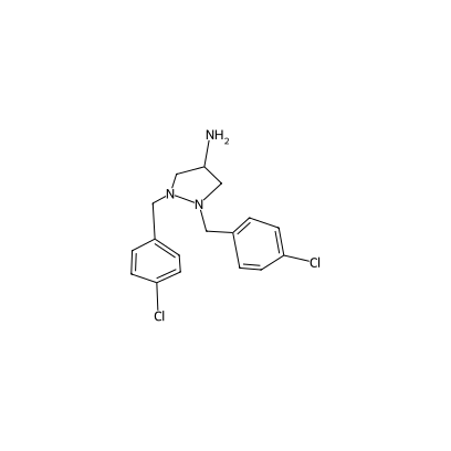 NC1CN(Cc2ccc(Cl)cc2)N(Cc2ccc(Cl)cc2)C1